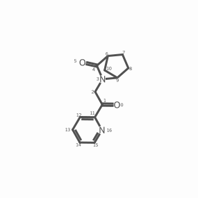 O=C(CN1C(=O)C2CCC1C2)c1ccccn1